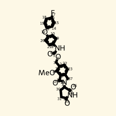 COc1c(COC(=O)Nc2ccc(Oc3ccc(F)cc3)cc2)ccc2c1C(=O)N(C1CCC(=O)NC1=O)C2